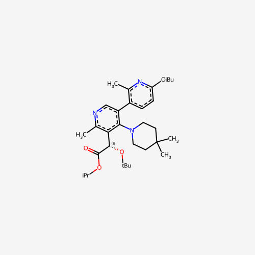 Cc1nc(OCC(C)C)ccc1-c1cnc(C)c([C@H](OC(C)(C)C)C(=O)OC(C)C)c1N1CCC(C)(C)CC1